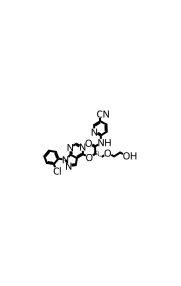 N#Cc1ccc(NC(=O)[C@H](COCCO)Oc2ncnc3c2cnn3-c2ccccc2Cl)nc1